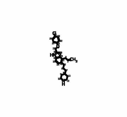 C=CCc1c(CCCC2CCNCC2)ccc2[nH]c(COc3ccc(Cl)cc3)nc12